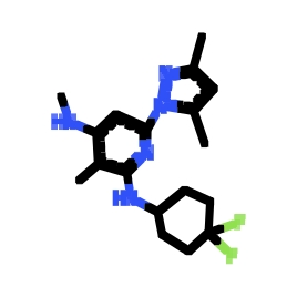 CNc1cc(-n2nc(C)cc2C)nc(NC2CCC(F)(F)CC2)c1C